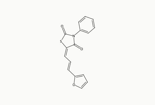 O=C1S/C(=C/C=C/c2ccco2)C(=O)N1c1ccccc1